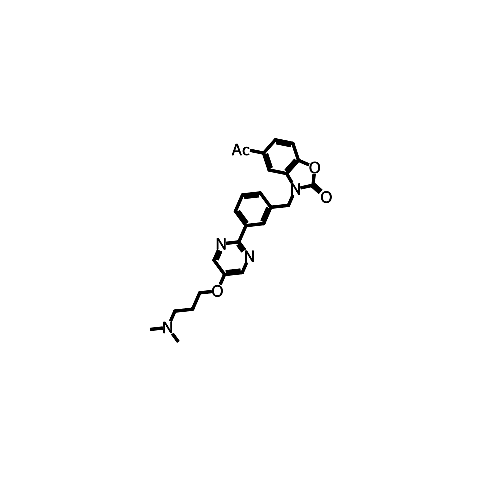 CC(=O)c1ccc2oc(=O)n(Cc3cccc(-c4ncc(OCCCN(C)C)cn4)c3)c2c1